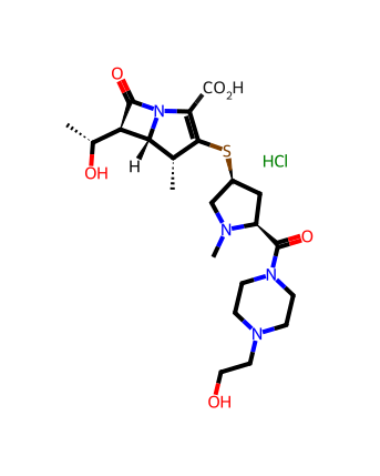 C[C@@H](O)[C@H]1C(=O)N2C(C(=O)O)=C(S[C@H]3C[C@@H](C(=O)N4CCN(CCO)CC4)N(C)C3)[C@H](C)[C@H]12.Cl